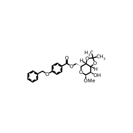 CO[C@H]1O[C@H](COC(=O)c2ccc(OCc3ccccc3)cc2)[C@@H]2OC(C)(C)O[C@@H]2[C@H]1O